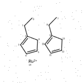 CCC1=CC=CC1.CCC1=CC=CC1.[Ru+2]